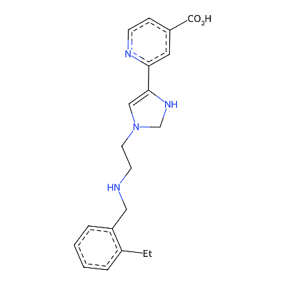 CCc1ccccc1CNCCN1C=C(c2cc(C(=O)O)ccn2)NC1